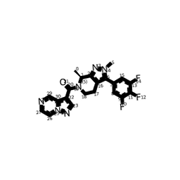 C[C@H]1c2nn(C)c(-c3cc(F)c(F)c(F)c3)c2CCN1C(=O)c1cnn2ccncc12